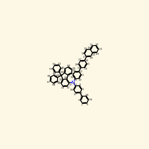 c1ccc(-c2ccc(N(c3ccc(-c4ccc(-c5ccc6ccccc6c5)cc4)cc3)c3cccc4c3-c3ccccc3C4(c3ccccc3)c3ccccc3)cc2)cc1